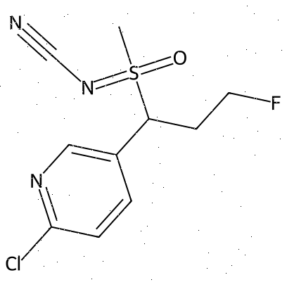 CS(=O)(=NC#N)C(CCF)c1ccc(Cl)nc1